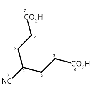 N#CC(CCC(=O)O)CCC(=O)O